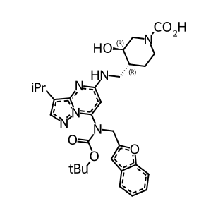 CC(C)c1cnn2c(N(Cc3cc4ccccc4o3)C(=O)OC(C)(C)C)cc(NC[C@H]3CCN(C(=O)O)C[C@@H]3O)nc12